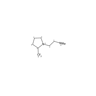 CNCCN1CCCC1C(F)(F)F